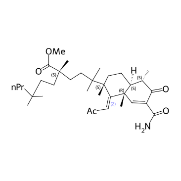 CCCC(C)(C)CC[C@@](C)(CCC(C)(C)[C@]1(C)CC[C@H]2[C@H](C)C(=O)C(C(N)=O)=C[C@]2(C)/C1=C/C(C)=O)C(=O)OC